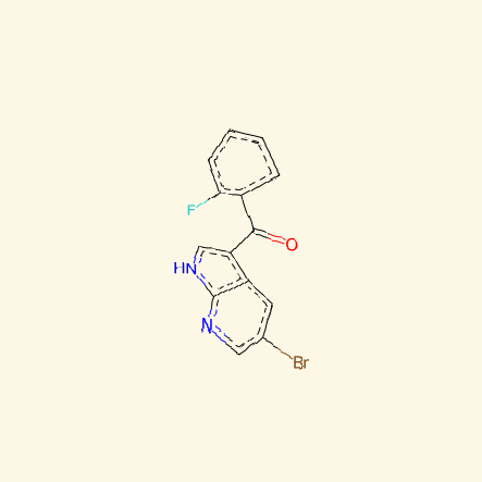 O=C(c1ccccc1F)c1c[nH]c2ncc(Br)cc12